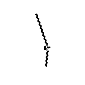 CCCCCCCCCCCCCCCCCCN1C=CN(CCCCCCCCC)C1C